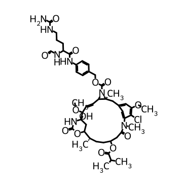 COc1cc2cc(c1Cl)N(C)C(=O)CC(OC(=O)C(C)C)CC[C@H](C)C1CC(O)(NC(=O)O1)C(OC)/C=C/C1N(C(=O)OCc3ccc(NC(=O)C(CCCNC(N)=O)NC=O)cc3)[C@]1(C)C2